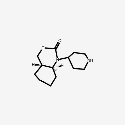 O=C1OC[C@H]2CCCC[C@@H]2N1C1CCNCC1